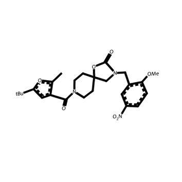 COc1ccc([N+](=O)[O-])cc1CN1CC2(CCN(C(=O)c3cc(C(C)(C)C)oc3C)CC2)OC1=O